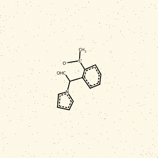 C[S+]([O-])c1ccccc1C(C=O)n1cccc1